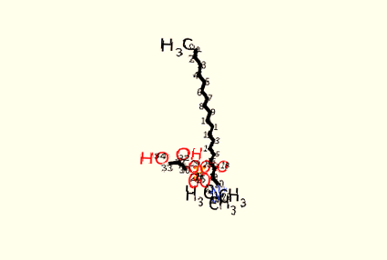 CCCCCCCCCCCCCCCCCC(=O)C(C[N+](C)(C)C)OP(=O)([O-])OC[C@H](O)CO